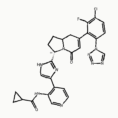 O=C(Nc1cnccc1-c1c[nH]c([C@@H]2CCC3CC(c4c(-n5cnnn5)ccc(Cl)c4F)=CC(=O)N32)n1)C1CC1